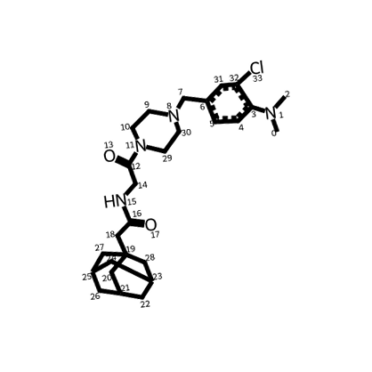 CN(C)c1ccc(CN2CCN(C(=O)CNC(=O)CC34CC5CC(CC(C5)C3)C4)CC2)cc1Cl